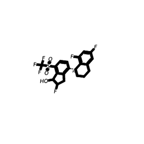 O=S(=O)(c1ccc([C@H]2CCCc3cc(F)cc(F)c32)c2c1C(O)C(F)C2)C(F)(F)F